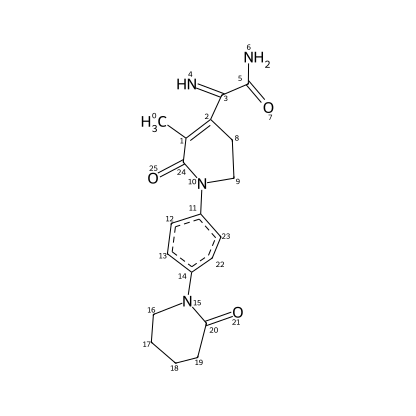 CC1=C(C(=N)C(N)=O)CCN(c2ccc(N3CCCCC3=O)cc2)C1=O